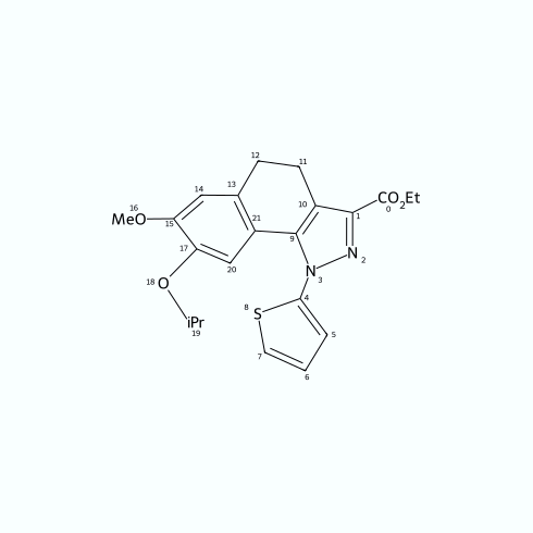 CCOC(=O)c1nn(-c2cccs2)c2c1CCc1cc(OC)c(OC(C)C)cc1-2